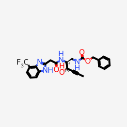 CC#C[C@H](O)[C@H](CNC(=O)OCc1ccccc1)NC(=O)Cc1nc2c(C(F)(F)F)cccc2[nH]1